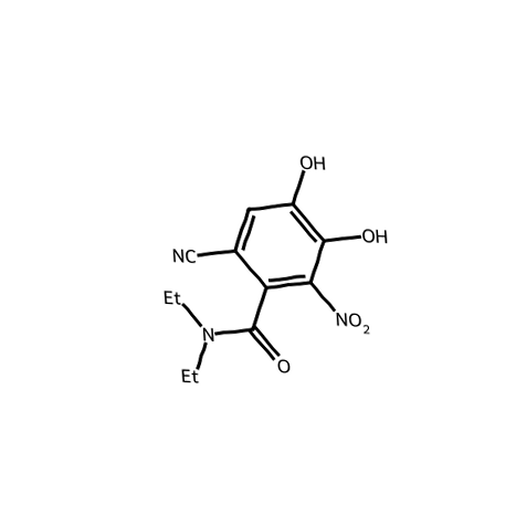 CCN(CC)C(=O)c1c(C#N)cc(O)c(O)c1[N+](=O)[O-]